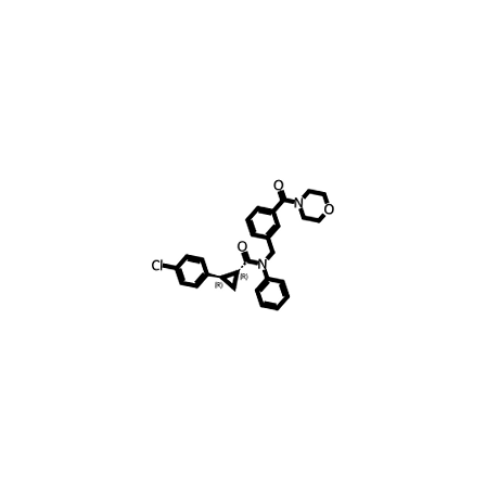 O=C(c1cccc(CN(C(=O)[C@@H]2C[C@H]2c2ccc(Cl)cc2)c2ccccc2)c1)N1CCOCC1